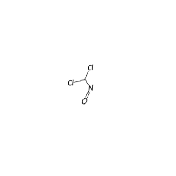 O=NC(Cl)Cl